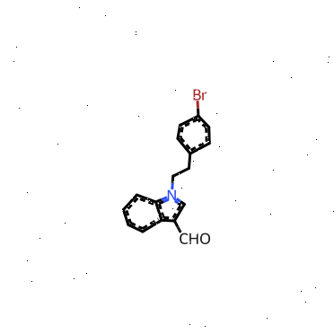 O=Cc1cn(CCc2ccc(Br)cc2)c2ccccc12